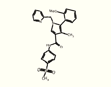 COc1ccccc1-c1c(C)c(C(=O)Nc2ccc(S(C)(=O)=O)cc2)cn1Cc1ccccn1